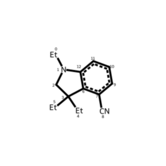 CCN1CC(CC)(CC)c2c(C#N)cccc21